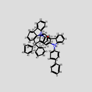 c1ccc(-c2ccc(-n3c4ccccc4c4cc(-n5c6ccccc6c6cccc([Si](c7ccccc7)(c7ccccc7)c7ccccc7)c65)ccc43)cc2)cc1